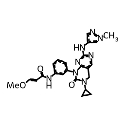 CO/C=C/C(=O)Nc1cccc(N2C(=O)N(C3CC3)Cc3cnc(Nc4cnn(C)c4)nc32)c1